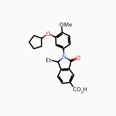 CCC1c2ccc(C(=O)O)cc2C(=O)N1c1ccc(OC)c(OC2CCCC2)c1